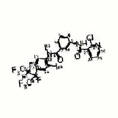 O=C(Nc1cccc(C(=O)N(I)c2ccc(C(F)(C(F)(F)F)C(F)(F)C(F)(F)F)cc2I)c1)c1cccnc1Cl